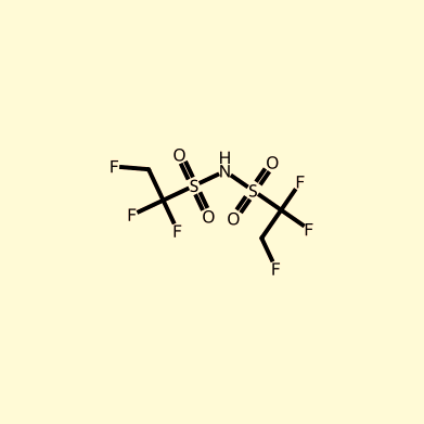 O=S(=O)(NS(=O)(=O)C(F)(F)CF)C(F)(F)CF